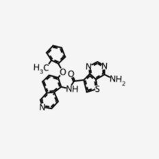 Cc1ccccc1Oc1ccc2cnccc2c1NC(=O)c1csc2c(N)ncnc12